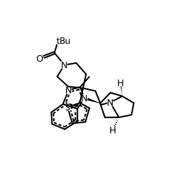 Cc1nc2ccccc2n1[C@H]1C[C@H]2CC[C@@H](C1)N2CCC1(c2cccs2)CCN(C(=O)C(C)(C)C)CC1